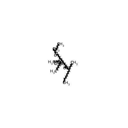 CCCCCCCCCCCC(CCCCCC)COC(=O)CCCCCC(CCCCCC(=O)OCC(CC)CCCCCC)N(CCCN(C)C)C(=O)CCCCCCC